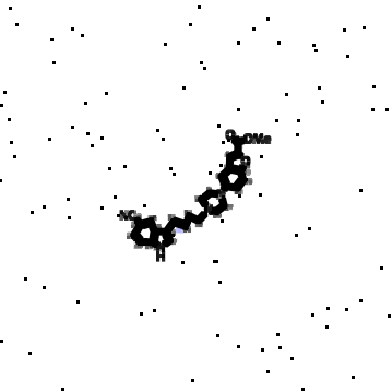 COC(=O)c1cc2cc(N3CCN(CC/C=C/c4c[nH]c5ccc(C#N)cc45)CC3)ccc2o1